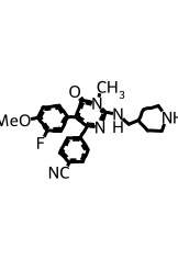 COc1ccc(-c2c(-c3ccc(C#N)cc3)nc(NCC3CCNCC3)n(C)c2=O)cc1F